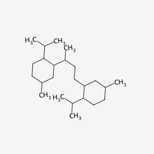 CC1CCC(C(C)C)C(CCC(C)C2CC(C)CCC2C(C)C)C1